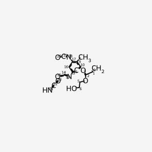 C=CC(=O)OCCO.Cc1ccc(N=C=O)cc1N=C=O.N=C=O